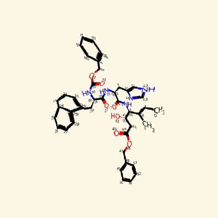 CCC(C)[C@H](NC(=O)[C@H](Cc1c[nH]cn1)NC(=O)[C@@H](Cc1cccc2ccccc12)NC(=O)OCc1ccccc1)[C@@H](O)CC(=O)OCc1ccccc1